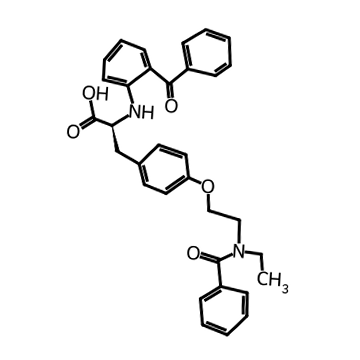 CCN(CCOc1ccc(C[C@H](Nc2ccccc2C(=O)c2ccccc2)C(=O)O)cc1)C(=O)c1ccccc1